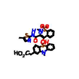 CN1c2ccccc2Sc2ccc(CC(=O)O)cc21.Cc1cnc(NC(=O)C2=C(O)c3ccccc3S(=O)(=O)N2C)s1